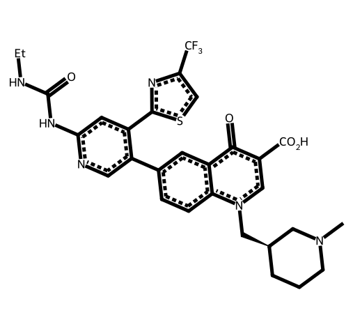 CCNC(=O)Nc1cc(-c2nc(C(F)(F)F)cs2)c(-c2ccc3c(c2)c(=O)c(C(=O)O)cn3C[C@@H]2CCCN(C)C2)cn1